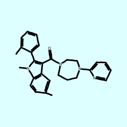 Cc1ccc2c(c1)c(C(=O)N1CCCN(c3ccccn3)CC1)c(-c1ccccc1C)n2C